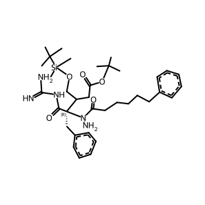 CC(C)(C)OC(=O)CC(CO[Si](C)(C)C(C)(C)C)[C@](Cc1ccccc1)(C(=O)NC(=N)N)N(N)C(=O)CCCCCc1ccccc1